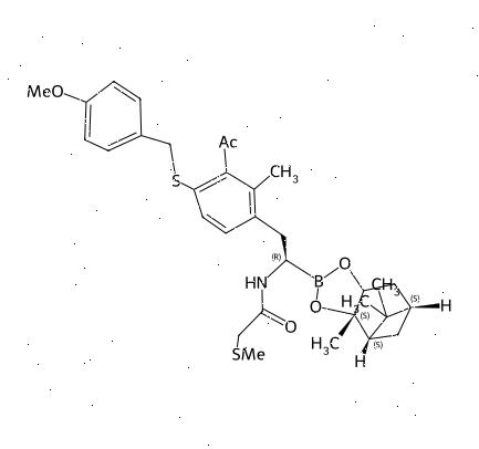 COc1ccc(CSc2ccc(C[C@H](NC(=O)CSC)B3OC4C[C@@H]5C[C@@H](C5(C)C)[C@]4(C)O3)c(C)c2C(C)=O)cc1